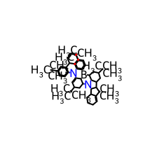 CC(C)(C)c1ccc(N2C3=CC(C(C)(C)C)CC4C3B(c3ccc(C(C)(C)C)cc32)C2CC(C(C)(C)C)CC3C2N4C2C4CCCC=C4C(C)(C)C32)c(C2C=CCCC2)c1